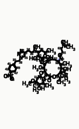 CC[C@H]1OC(=O)[C@H](C)[C@@H](O[C@H]2C[C@@](C)(OC)[C@@H](O)[C@H](C)O2)[C@H](C)[C@@H](O[C@@H]2O[C@H](C)C[C@H](N(C)CCc3cn(CCc4ccc([N+](=O)[O-])cc4)nn3)[C@H]2O)[C@](C)(O)CC/C(=N\OCCN(C)C)[C@H](C)[C@@H](O)[C@@]1(O)CC